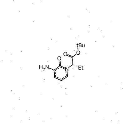 CC[C@@H](C(=O)OC(C)(C)C)n1cccc(N)c1=O